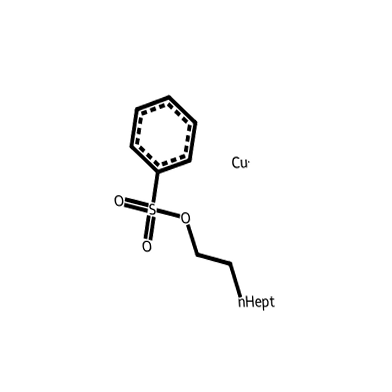 CCCCCCCCCOS(=O)(=O)c1ccccc1.[Cu]